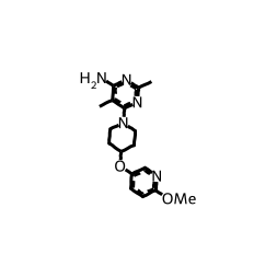 COc1ccc(OC2CCN(c3nc(C)nc(N)c3C)CC2)cn1